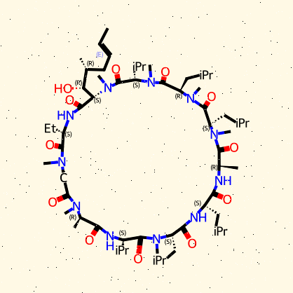 C/C=C/C[C@@H](C)[C@@H](O)[C@H]1C(=O)N[C@@H](CC)C(=O)N(C)CC(=O)N(C)[C@H](C)C(=O)N[C@@H](C(C)C)C(=O)N(C)[C@@H](CC(C)C)C(=O)N[C@@H](CC(C)C)C(=O)N[C@H](C)C(=O)N(C)[C@@H](CC(C)C)C(=O)N(C)[C@H](CC(C)C)C(=O)N(C)[C@@H](C(C)C)C(=O)N1C